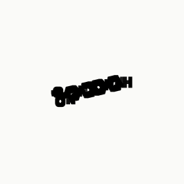 COC(=O)c1ccc(N2CCC3(CCC(N4CCNCC4)CC3)CC2)cn1